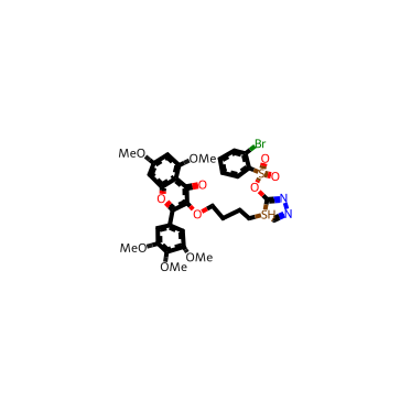 COc1cc(OC)c2c(=O)c(OCCCC[SH]3C=NN=C3OS(=O)(=O)c3ccccc3Br)c(-c3cc(OC)c(OC)c(OC)c3)oc2c1